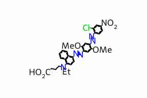 CCN(CCCC(=O)O)c1ccc(N=Nc2cc(OC)c(N=Nc3ccc([N+](=O)[O-])cc3Cl)cc2OC)c2ccccc12